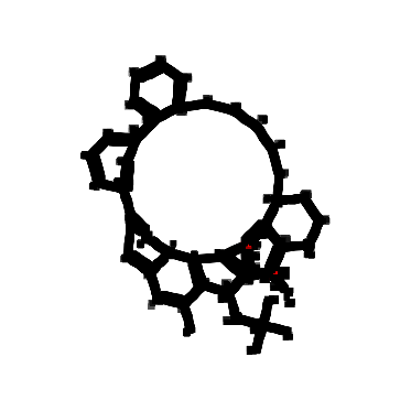 Cc1nc2cc3nn2c(c1[C@H](OC(C)(C)C)C(=O)O)-c1cc(F)c2c(c1)N(CCCCCc1ccccc1-c1cccc-3c1)CCO2